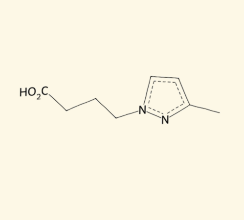 Cc1ccn(CCCC(=O)O)n1